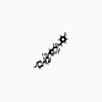 CN1CCN(c2ncnc(Nc3cc(CC(=O)NCc4ccc(F)cc4)[nH]n3)n2)CC1